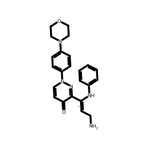 NC/C=C(\Nc1ccccc1)c1nn(-c2ccc(N3CCOCC3)cc2)ccc1=O